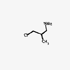 CNCC(C)CCl